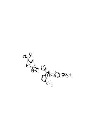 O=C(O)c1ccc(NN=C(c2cccc(-c3nnc(Nc4ccc(Cl)c(Cl)c4)s3)c2)c2cccc(C(F)(F)F)c2)cc1